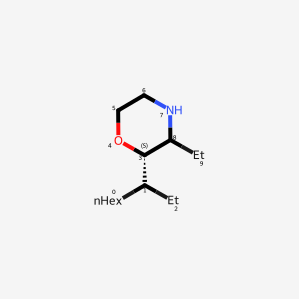 CCCCCCC(CC)[C@@H]1OCCNC1CC